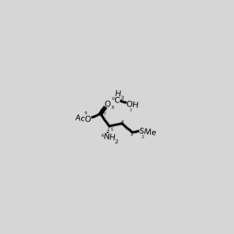 CO.CSCC[C@H](N)C(=O)OC(C)=O